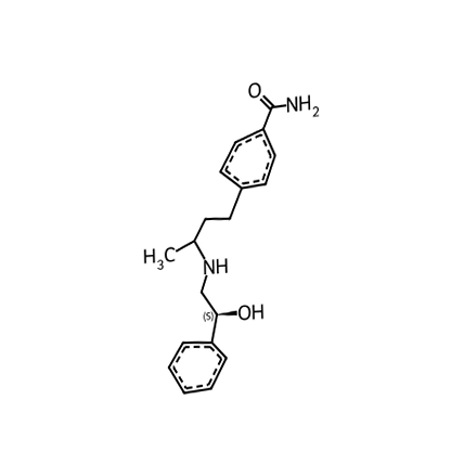 CC(CCc1ccc(C(N)=O)cc1)NC[C@@H](O)c1ccccc1